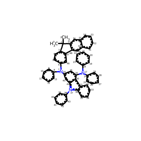 CC1(C)c2ccc(N(c3ccccc3)c3cc(N(c4ccccc4)c4ccccc4)c4c5ccccc5n(-c5ccccc5)c4c3)cc2-c2cc3ccccc3cc21